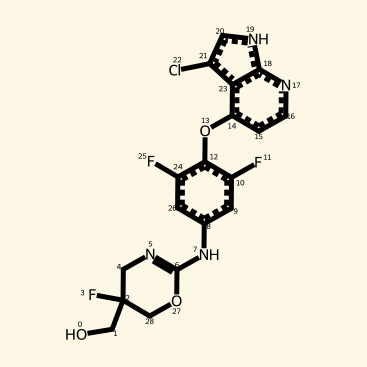 OCC1(F)CN=C(Nc2cc(F)c(Oc3ccnc4[nH]cc(Cl)c34)c(F)c2)OC1